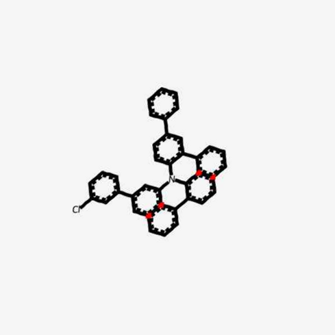 Clc1cccc(-c2cccc(N(c3ccccc3-c3ccccc3)c3ccc(-c4ccccc4)cc3-c3ccccc3)c2)c1